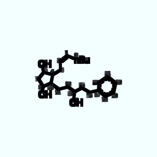 CCCC/C=C\CC1C(O)CC(O)[C@@H]1CCC(O)CCc1ccccc1